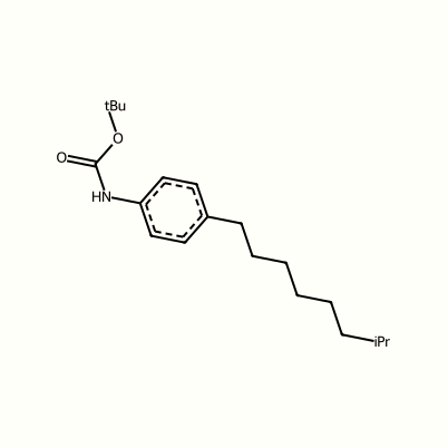 CC(C)CCCCCCc1ccc(NC(=O)OC(C)(C)C)cc1